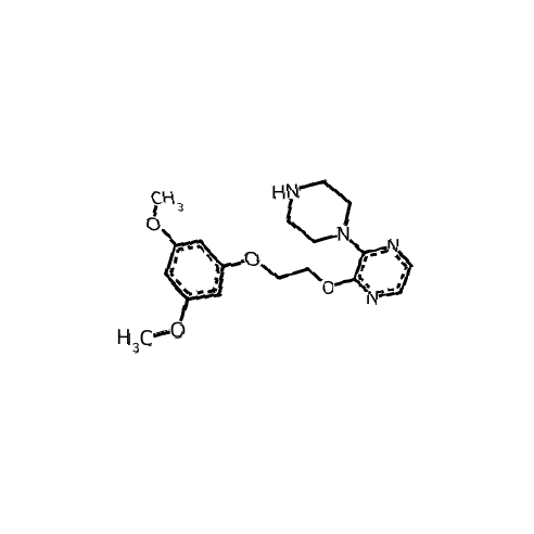 COc1cc(OC)cc(OCCOc2nccnc2N2CCNCC2)c1